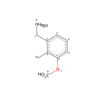 CCCCCCCCc1cccc(OC(=O)O)c1C